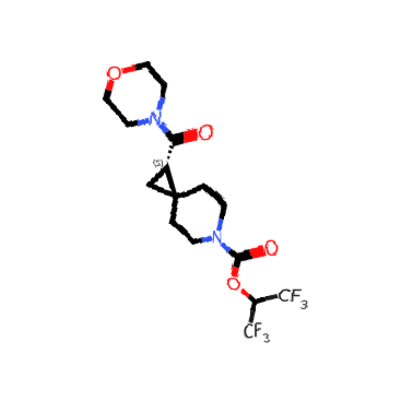 O=C(OC(C(F)(F)F)C(F)(F)F)N1CCC2(CC1)C[C@@H]2C(=O)N1CCOCC1